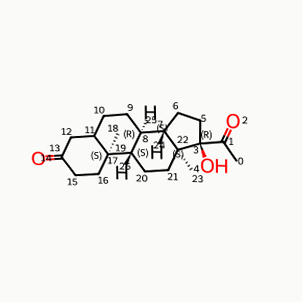 CC(=O)[C@@]1(O)CC[C@H]2[C@@H]3CCC4CC(=O)CC[C@]4(C)[C@H]3CC[C@@]21C